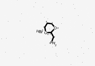 Br.PCC1OCCCO1